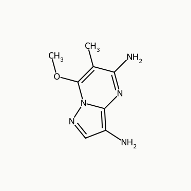 COc1c(C)c(N)nc2c(N)cnn12